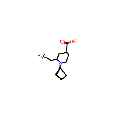 CCC1CC(C(=O)O)CCN1C1CCC1